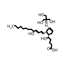 CCCCCCCCC(O)C=CC=C[C@H]1CC=CC[C@H]1C(O)CCCC(=O)O.NC(CO)(CO)CO